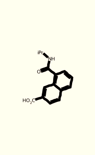 CC(C)NC(=O)c1cccc2ccc(C(=O)O)cc12